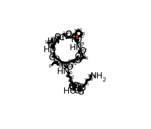 C/C=C(\C)[C@H]1OC(=O)[C@@H](C)NC(=O)[C@H](C(C)CC)NC(=O)CN(C)C(=O)[C@@H](Cc2ccccc2)N(C)C(=O)[C@H](C)NC(=O)[C@@H](CC(C)C)OC(=O)/C(C)=C/C[C@H](OC(=O)NCCCCCOP(=O)(O)OP(=O)(O)OCCCCCN)[C@@H]1C